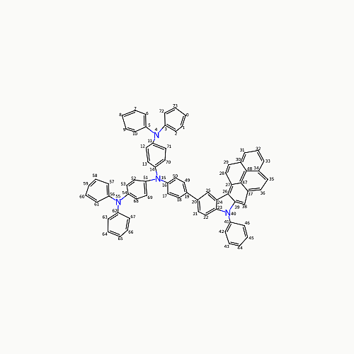 c1ccc(N(c2ccccc2)c2ccc(N(c3ccc(-c4ccc5c(c4)c4c6ccc7cccc8ccc(cc4n5-c4ccccc4)c6c87)cc3)c3ccc(N(c4ccccc4)c4ccccc4)cc3)cc2)cc1